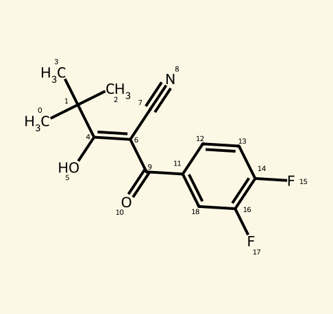 CC(C)(C)/C(O)=C(\C#N)C(=O)c1ccc(F)c(F)c1